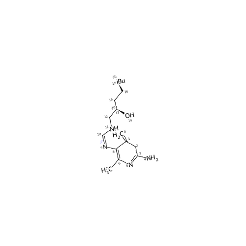 C=C1CC(N)=NC(C)=C1/N=C\NC[C@H](O)CC[C@H](C)CC